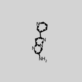 Nc1cnc2cc(-c3cccnc3)nn2c1